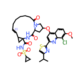 COc1ccc2c(OC3CC4C(=O)NC5(C(=O)NS(=O)(=O)C6CC6)CC5/C=C/CCCCCC(=O)N4C3)cc(-c3nc(C(C)C)cs3)nc2c1Cl